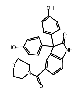 O=C(c1ccc2c(c1)C(c1ccc(O)cc1)(c1ccc(O)cc1)C(=O)N2)N1CCOCC1